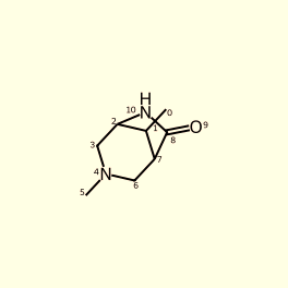 CC1C2CN(C)CC1C(=O)N2